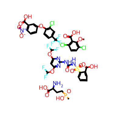 COc1c(Cl)ccc(Cl)c1C(=O)O.CP(=O)(O)CCC(N)C(=O)O.O=C(Nc1nc(OC(F)F)cc(OC(F)F)n1)NS(=O)(=O)c1ccccc1C(=O)O.O=C(O)c1cc(Oc2ccc(C(F)(F)F)cc2Cl)ccc1[N+](=O)[O-]